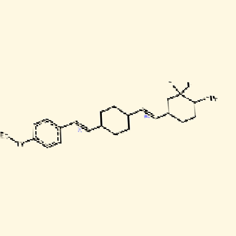 CCCC1CCC(/C=C/C2CCC(/C=C/c3ccc(OCC)cc3)CC2)CC1(F)F